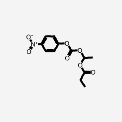 CCC(=O)OC(C)OC(=O)Oc1ccc([N+](=O)[O-])cc1